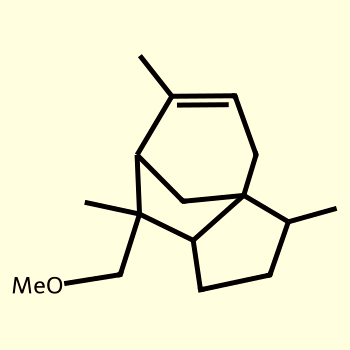 COCC1(C)C2CC3(CC=C2C)C(C)CCC13